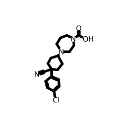 N#CC1(c2ccc(Cl)cc2)CCC(N2CCCN(C(=O)O)CC2)CC1